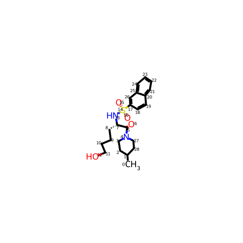 CC1CCN(C(=O)[C@H](CCCCO)NS(=O)(=O)c2ccc3ccccc3c2)CC1